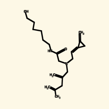 C=C(C)CC(=C)CN(C/C=C1\CC1=C)CC(=O)NCCCCCCO